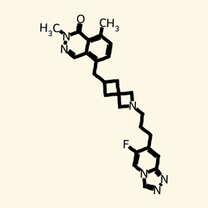 Cc1ccc(CC2CC3(C2)CN(CCCc2cc4nncn4cc2F)C3)c2cnn(C)c(=O)c12